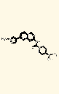 CN(C)C1CCN(C(=O)Nc2ncc3ccc(-c4cnn(C)c4)cc3n2)CC1